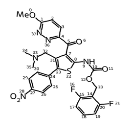 COc1ccc(C(=O)c2c(NC(=O)OCc3c(F)cccc3F)sc(-c3ccc([N+](=O)[O-])cc3)c2CN(C)C)nn1